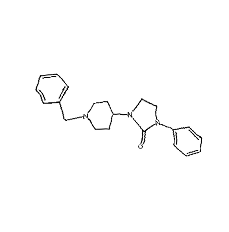 O=C1N(c2ccccc2)CCN1C1CCN(Cc2ccccc2)CC1